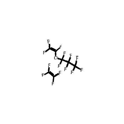 FC(F)=C(F)F.FC(F)=C(F)OC(F)(F)C(F)(F)C(F)(F)F